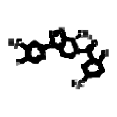 Cc1cc(-n2nnc3c2CCN(C(=O)c2cc(C(F)(F)F)ccc2Cl)[C@H]3C)ncc1F